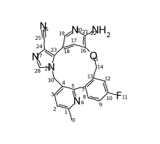 Cc1ccc2c(n1)-c1ccc(F)cc1COc1cc(cnc1N)-c1c(C#N)ncn1C2